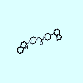 O=C(CN1CCN(c2ccc3ccccc3n2)CC1)N1CC=C(c2cccc3ccsc23)CC1